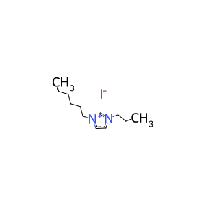 CCCCCC[n+]1ccn(CCC)c1.[I-]